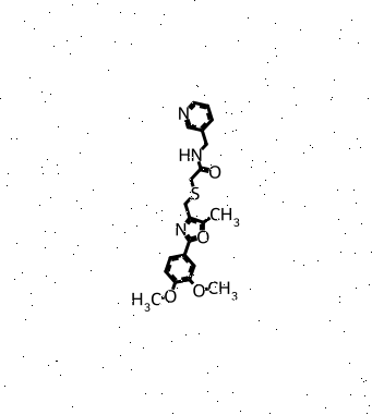 COc1ccc(-c2nc(CSCC(=O)NCc3cccnc3)c(C)o2)cc1OC